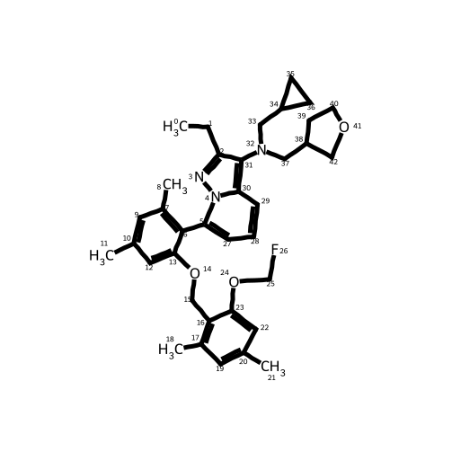 CCc1nn2c(-c3c(C)cc(C)cc3OCc3c(C)cc(C)cc3OCF)cccc2c1N(CC1CC1)CC1CCOC1